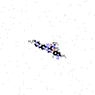 CCN1CCN(Cc2ccc(Nc3ncnc(Oc4cc(F)c5[nH]c(C)cc5c4F)c3C(=O)N(C)CC)nc2)CC1